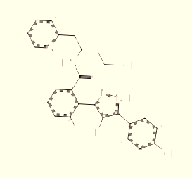 O=C(N[C@@H](CCO)Cc1ccccn1)c1cccc(F)c1-c1n[nH]c(-c2ccc(Cl)cc2)c1F